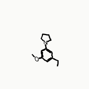 CCc1cc(OC)cc(N2CCCC2)c1